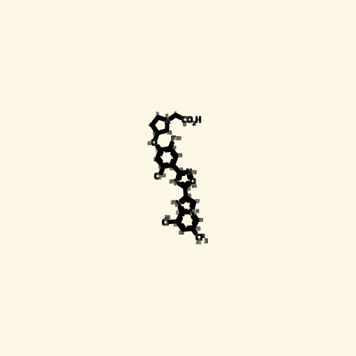 O=C(O)CN1CCC(Oc2cc(Cl)c(-c3noc(-c4cn5cc(C(F)(F)F)cc(Cl)c5n4)n3)cc2F)C1